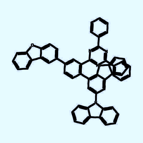 c1ccc(-c2nc(-c3ccccc3)nc(-c3cc(-c4ccc5oc6ccccc6c5c4)ccc3-c3cc(-n4c5ccccc5c5ccccc54)cc4c3sc3ccccc34)n2)cc1